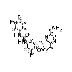 NCc1cnc2ccc(Oc3ccc(NC(=O)Nc4ccc(F)c(F)c4)cc3F)cc2n1